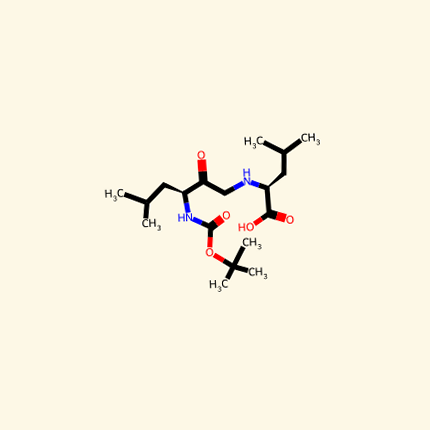 CC(C)C[C@H](NCC(=O)[C@H](CC(C)C)NC(=O)OC(C)(C)C)C(=O)O